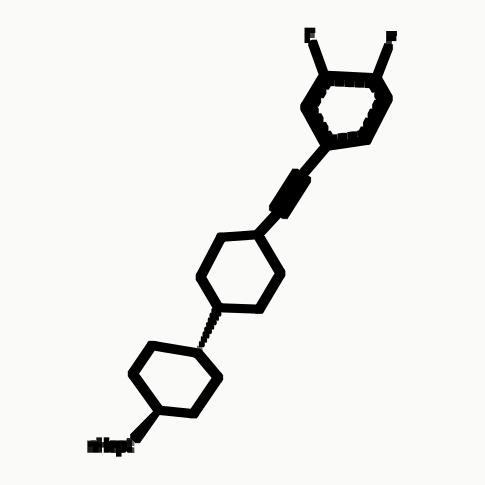 CCCCCCC[C@H]1CC[C@H](C2CCC(C#Cc3ccc(F)c(F)c3)CC2)CC1